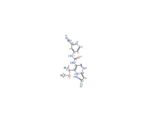 COC(C)c1c(NC(=O)Nc2ccnc(C#N)c2)cnc2cc(Cl)nn12